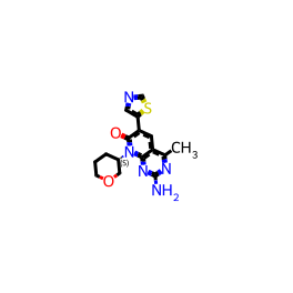 Cc1nc(N)nc2c1cc(-c1cncs1)c(=O)n2[C@H]1CCCOC1